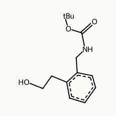 CC(C)(C)OC(=O)NCc1ccccc1CCO